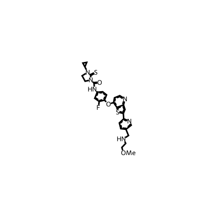 COCCNCc1ccc(-c2cc3nccc(Oc4ccc(NC(=O)N5CCN(C6CC6)C5=S)cc4F)c3s2)nc1